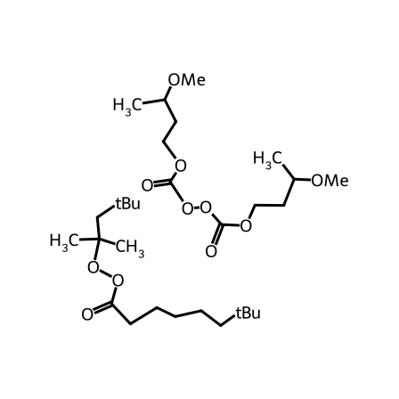 CC(C)(C)CCCCCC(=O)OOC(C)(C)CC(C)(C)C.COC(C)CCOC(=O)OOC(=O)OCCC(C)OC